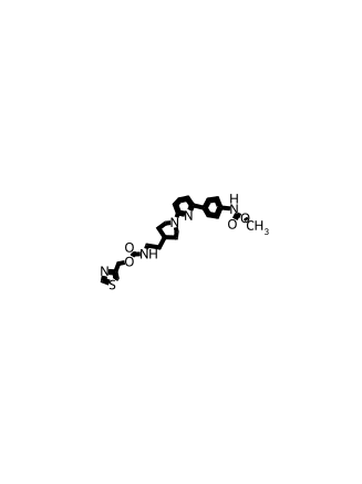 COC(=O)Nc1ccc(-c2cccc(N3CCC(CCNC(=O)OCc4cscn4)CC3)n2)cc1